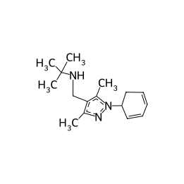 Cc1nn(C2C=CC=CC2)c(C)c1CNC(C)(C)C